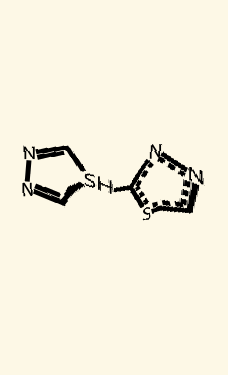 C1=NN=C[SH]1c1nncs1